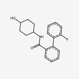 O=C(NC1CCC(O)CC1)c1ccccc1-c1ccccc1F